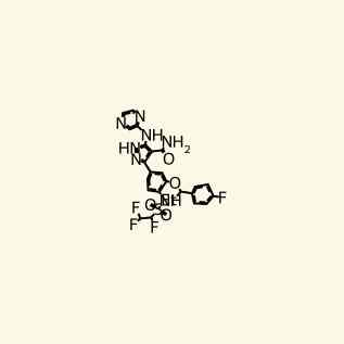 CCC(Oc1cc(-c2n[nH]c(Nc3cnccn3)c2C(N)=O)ccc1NS(=O)(=O)C(F)C(F)F)c1ccc(F)cc1